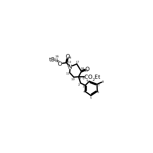 CCOC(=O)C1(Cc2cccc(C)c2)CCN(C(=O)OC(C)(C)C)CC1=O